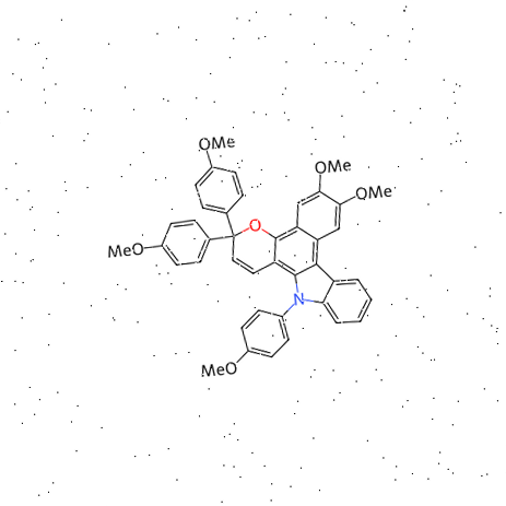 COc1ccc(-n2c3ccccc3c3c4cc(OC)c(OC)cc4c4c(c32)C=CC(c2ccc(OC)cc2)(c2ccc(OC)cc2)O4)cc1